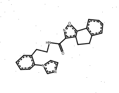 O=C(NCCc1ccccc1-n1ccnc1)c1noc2c1CCc1ccccc1-2